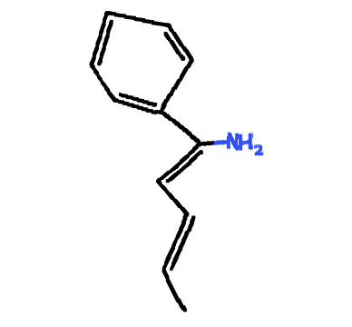 CC=CC=C(N)c1ccccc1